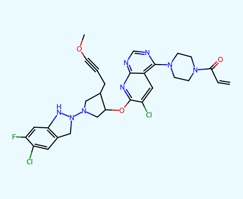 C=CC(=O)N1CCN(c2ncnc3nc(OC4CN(N5Cc6cc(Cl)c(F)cc6N5)CC4CC#COC)c(Cl)cc23)CC1